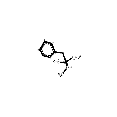 NOC(C=O)(Cc1ccccc1)C(=O)O